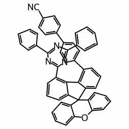 N#Cc1ccc(-c2ccc(-c3cccc4c3-c3c(-c5nc(-c6ccccc6)nc(-c6ccccc6)n5)cccc3C43c4ccccc4Oc4ccccc43)cc2)cc1